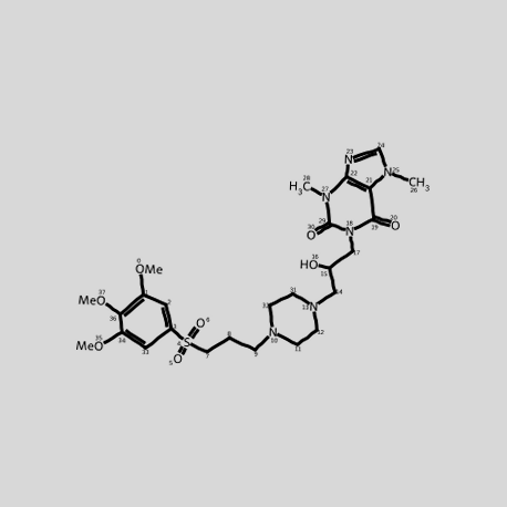 COc1cc(S(=O)(=O)CCCN2CCN(CC(O)Cn3c(=O)c4c(ncn4C)n(C)c3=O)CC2)cc(OC)c1OC